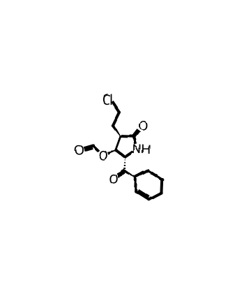 O=CO[C@@H]1[C@@H](C(=O)[C@@H]2C=CCCC2)NC(=O)[C@@H]1CCCl